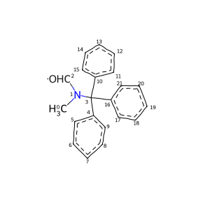 CN([C]=O)C(c1ccccc1)(c1ccccc1)c1ccccc1